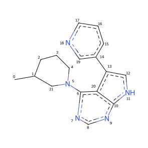 CC1CCCN(c2ncnc3[nH]cc(-c4cccnc4)c23)C1